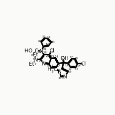 CCN(CC)c1nc2ccc(C(O)(c3ccc(Cl)cc3)c3cncn3C)cc2c(Cl)c1N(C(=O)O)c1ccccc1